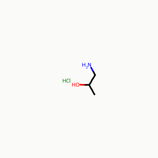 CC(O)CN.Cl